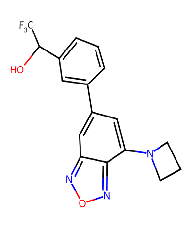 OC(c1cccc(-c2cc(N3CCC3)c3nonc3c2)c1)C(F)(F)F